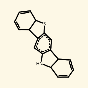 C1=CC2Nc3cc4c(cc3C2C=C1)SC1C=CC=CC41